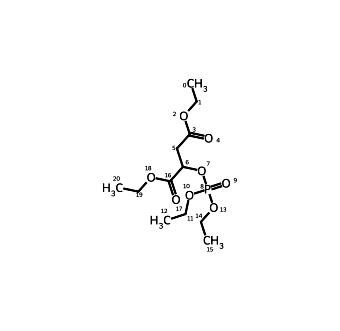 CCOC(=O)CC(OP(=O)(OCC)OCC)C(=O)OCC